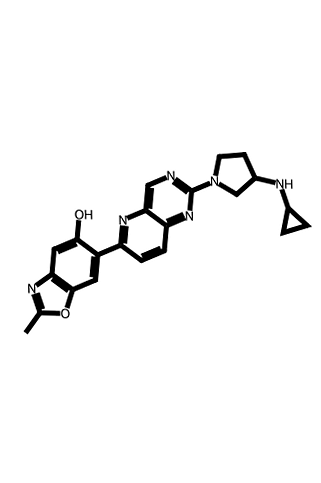 Cc1nc2cc(O)c(-c3ccc4nc(N5CCC(NC6CC6)C5)ncc4n3)cc2o1